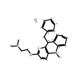 CN(C)CCOC1=[C+]C2=C(C=C1)N(C)c1ccccc1C2Cc1ccccc1.[Cl-]